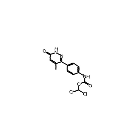 Cc1cc(=O)[nH]nc1-c1ccc(NC(=O)OC(Cl)Cl)cc1